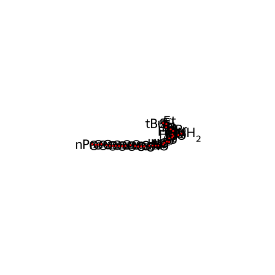 CCCOCCOCCOCCOCCOCCOCCOCCOCCOCCOCCOCCOCCOCCn1cc(CNC(=O)OCc2ccc(NC(=O)[C@H](CCCNC(N)=O)NC(=O)[C@@H](NC(=O)CO/N=C(\CSCC)CSC(C)(C)C)C(C)C)cc2)nn1